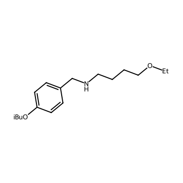 CCOCCCCNCc1ccc(OCC(C)C)cc1